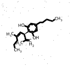 C=C(C)[C@@H](/C=C(/C)CCC)c1c(O)cc(CCCCC)cc1O